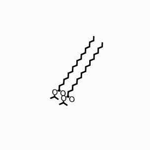 CCCCCCCCCCCCCCCCCC(=O)OC(C)C.CCCCCCCCCCCCCCCCCC(=O)OC(C)C